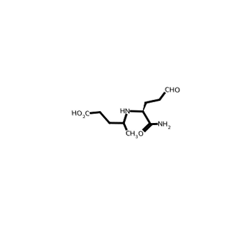 CC(CCC(=O)O)N[C@@H](CCC=O)C(N)=O